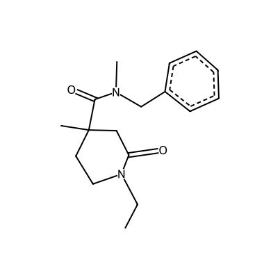 CCN1CCC(C)(C(=O)N(C)Cc2ccccc2)CC1=O